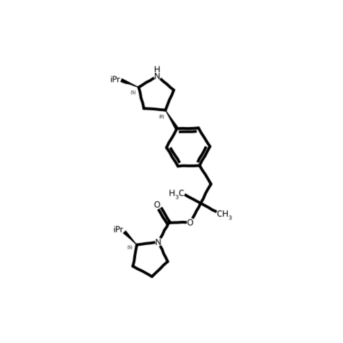 CC(C)[C@@H]1C[C@H](c2ccc(CC(C)(C)OC(=O)N3CCC[C@H]3C(C)C)cc2)CN1